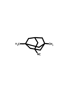 [C-]#[N+]C12CC3CC(C)(CC(C)(C3)C1)C2